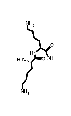 NCCCCC(NC(=O)[C@@H](N)CCCCN)C(=O)O